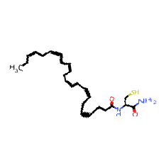 CC/C=C\C/C=C\C/C=C\C/C=C\C/C=C\C/C=C\CCC(=O)N[C@@H](CS)C(N)=O